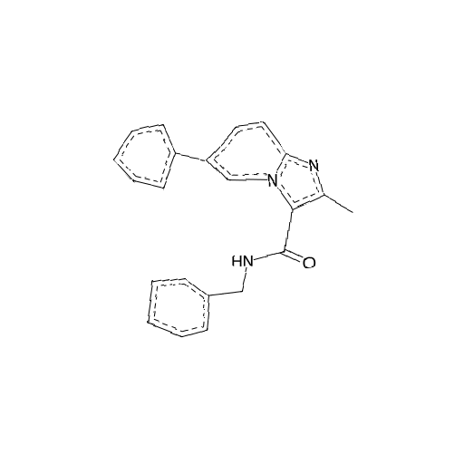 Cc1nc2ccc(-c3ccccc3)cn2c1C(=O)NCc1ccccc1